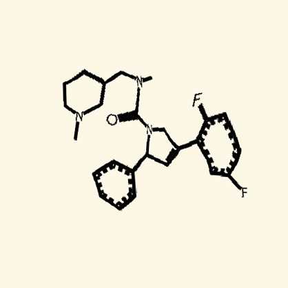 CN1CCCC(CN(C)C(=O)N2CC(c3cc(F)ccc3F)=CC2c2ccccc2)C1